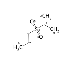 [CH2]C(C)S(=O)(=O)CCC